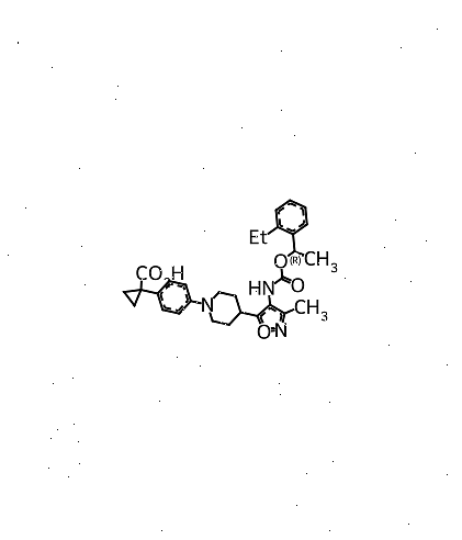 CCc1ccccc1[C@@H](C)OC(=O)Nc1c(C)noc1C1CCN(c2ccc(C3(C(=O)O)CC3)cc2)CC1